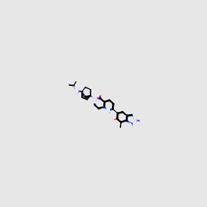 Cc1c(O)c(-c2ccc3c(=O)n(C45CCC(NC(C)C)(CC4)C5)ccc3n2)cc2cn(C)nc12